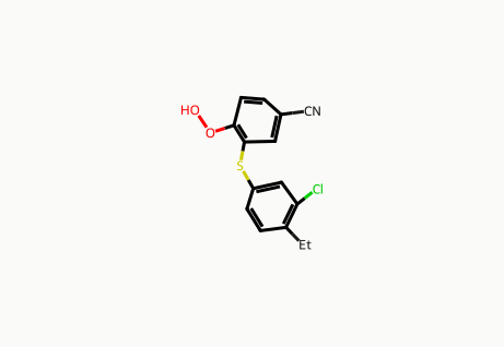 CCc1ccc(Sc2cc(C#N)ccc2OO)cc1Cl